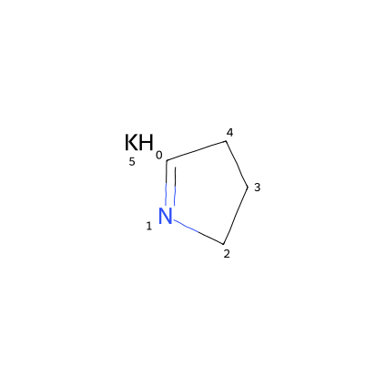 C1=NCCC1.[KH]